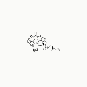 CN1CCN(C(=O)C2Cc3cccc4c3N2C=CN=C4C2=C(c3cncc4ccoc34)C(=O)NC2=O)CC1.Cl.Cl